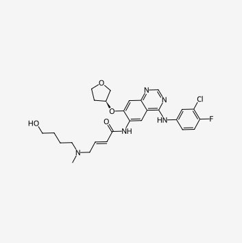 CN(C/C=C/C(=O)Nc1cc2c(Nc3ccc(F)c(Cl)c3)ncnc2cc1O[C@H]1CCOC1)CCCCO